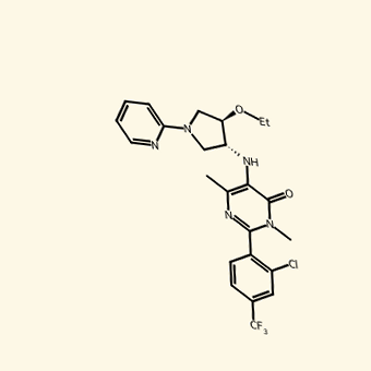 CCO[C@@H]1CN(c2ccccn2)C[C@H]1Nc1c(C)nc(-c2ccc(C(F)(F)F)cc2Cl)n(C)c1=O